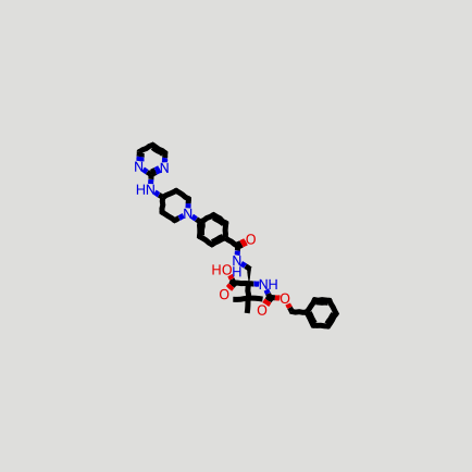 CC(C)(C)[C@@](CNC(=O)c1ccc(N2CCC(Nc3ncccn3)CC2)cc1)(NC(=O)OCc1ccccc1)C(=O)O